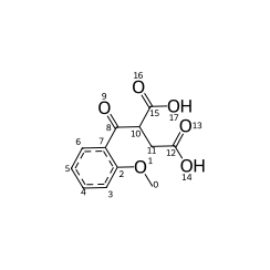 COc1ccccc1C(=O)C(CC(=O)O)C(=O)O